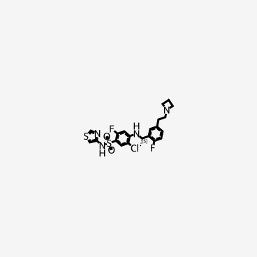 C[C@H](Nc1cc(F)c(S(=O)(=O)Nc2cscn2)cc1Cl)c1cc(CCN2CCC2)ccc1F